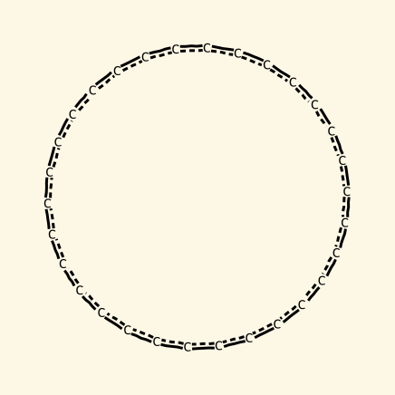 c1ccccccccccccccccccccccccccccc1